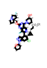 CCOC(=O)CC[C@@H]1C[C@@H]1c1c(Cl)cc2c(cnn2[C@H]2CCCCO2)c1-c1ncc2c(N3CCC[C@@H](O)C3)nc(OC[C@@]34CCCN3C[C@H](F)C4)nc2c1F